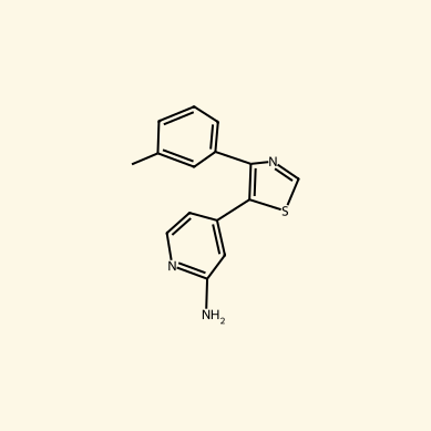 Cc1cccc(-c2ncsc2-c2ccnc(N)c2)c1